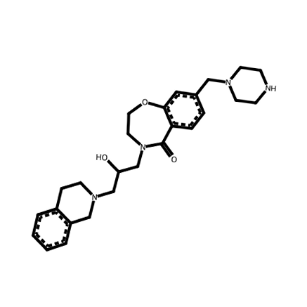 O=C1c2ccc(CN3CCNCC3)cc2OCCN1CC(O)CN1CCc2ccccc2C1